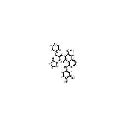 COc1cc(OC(C(=O)CN2CCOCC2)[C@@H]2CCCN2)c2c(Nc3ccc(F)c(Cl)c3)ncnc2c1